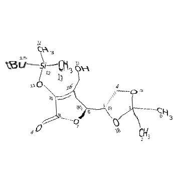 CC1(C)OC[C@@H]([C@H]2OC(=O)C(O[Si](C)(C)C(C)(C)C)=C2O)O1